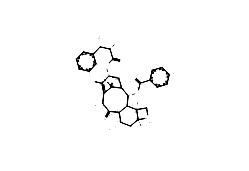 CC(=O)N[C@@H](c1ccccc1)[C@@H](C)C(=O)O[C@H]1C[C@@]2(O)[C@@H](OC(=O)c3ccccc3)C3[C@](C)(C(=O)[C@H](O)C(=C1C)C2(C)C)[C@@H](O)C[C@H]1OC[C@@]31OC(C)=O